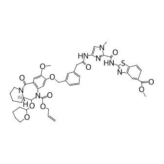 C=CCOC(=O)N1c2cc(OCc3cccc(CC(=O)Nc4cn(C)c(C(=O)Nc5nc6cc(C(=O)OC)ccc6s5)n4)c3)c(OC)cc2C(=O)N2CCCC[C@H]2C1OC1CCCCO1